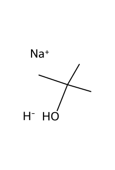 CC(C)(C)O.[H-].[Na+]